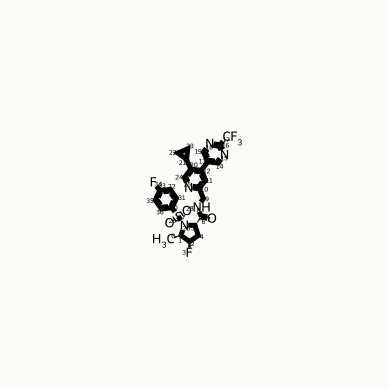 C[C@H]1[C@H](F)C[C@@H](C(=O)NCc2cc(-c3cnc(C(F)(F)F)nc3)c(C3CC3)cn2)N1S(=O)(=O)c1ccc(F)cc1